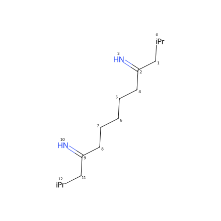 CC(C)CC(=N)CCCCCC(=N)CC(C)C